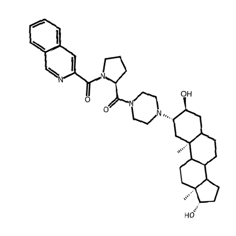 C[C@]12C[C@H](N3CCN(C(=O)[C@@H]4CCCN4C(=O)c4cc5ccccc5cn4)CC3)[C@@H](O)CC1CCC1C2CC[C@@]2(C)C1CC[C@@H]2O